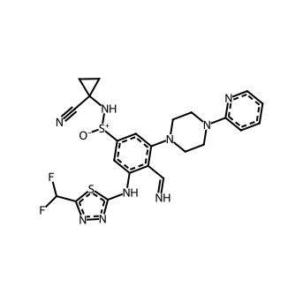 N#CC1(N[S+]([O-])c2cc(Nc3nnc(C(F)F)s3)c(C=N)c(N3CCN(c4ccccn4)CC3)c2)CC1